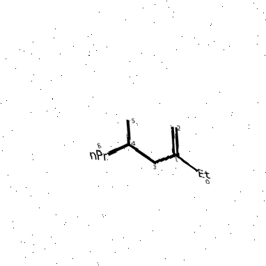 [CH2]CC(=C)CC(C)CCC